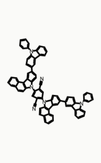 N#Cc1cc(-n2c3ccc(-c4ccc5c(c4)c4ccccc4n5-c4ccccc4)cc3c3c4ccccc4ccc32)c(C#N)cc1-n1c2ccc(-c3ccc4c(c3)c3ccccc3n4-c3ccccc3)cc2c2c3ccccc3ccc21